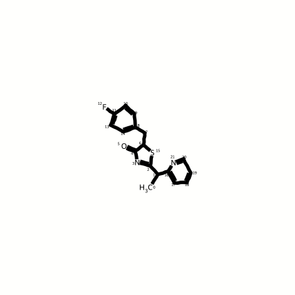 CC(C1=NC(=O)C(Cc2ccc(F)cc2)S1)c1ccccn1